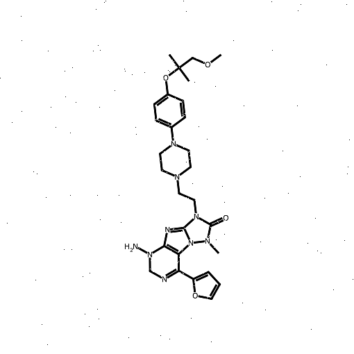 COCC(C)(C)Oc1ccc(N2CCN(CCn3c(=O)n(C)n4c5c(nc34)N(N)CN=C5c3ccco3)CC2)cc1